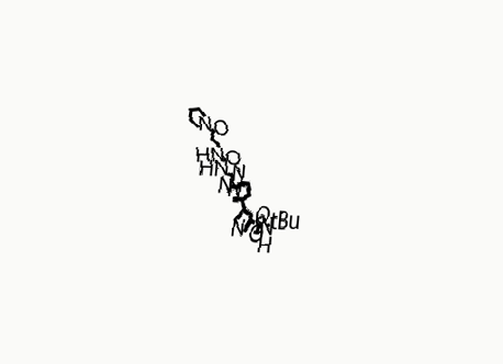 CC(C)(C)NS(=O)(=O)c1cncc(-c2ccc3nc(NC(=O)NCCC(=O)N4CCCCC4)nn3c2)c1